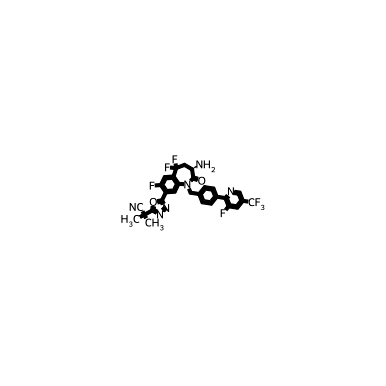 CC(C)(C#N)c1nnc(-c2cc3c(cc2F)C(F)(F)C[C@H](N)C(=O)N3Cc2ccc(-c3ncc(C(F)(F)F)cc3F)cc2)o1